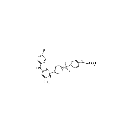 Cc1cc(Nc2ccc(F)cc2)nc(N2CCN(S(=O)(=O)c3ccc(OCC(=O)O)cc3)CC2)n1